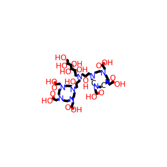 O=C(O)CN1CCN(CC(=O)O)CCN(CC(O)CN(CC(O)CN2CCN(CC(=O)O)CCN(CC(=O)O)CCN(CC(=O)O)CC2)C[C@H](O)[C@@H](O)[C@H](O)[C@H](O)CO)CCN(CC(=O)O)CC1